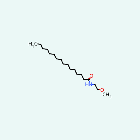 CCCCCCCCCCCCCCCC(=O)NCCOC